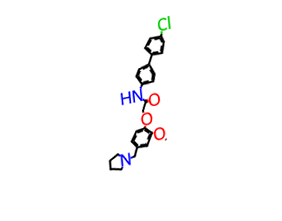 COc1cc(CN2CCCC2)ccc1OCC(=O)Nc1ccc(-c2ccc(Cl)cc2)cc1